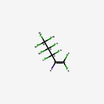 FC(F)=C(I)C(F)(F)C(F)(F)C(F)(F)F